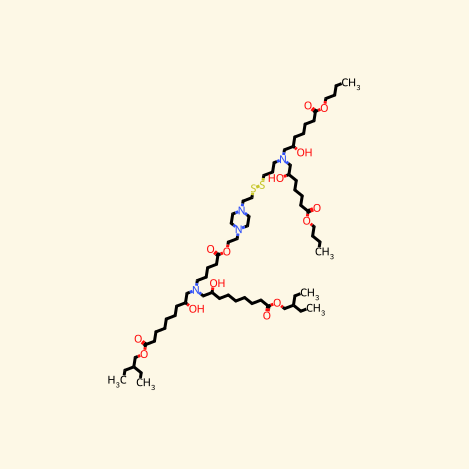 CCCCOC(=O)CCCCC(O)CN(CCCSSCCN1CCN(CCOC(=O)CCCCN(CC(O)CCCCCCC(=O)OCC(CC)CC)CC(O)CCCCCCC(=O)OCC(CC)CC)CC1)CC(O)CCCCC(=O)OCCCC